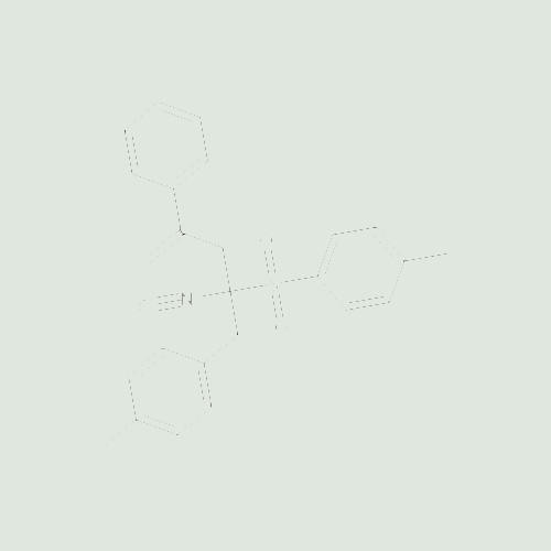 [C-]#[N+]C(CC(=C)c1ccccc1)(Cc1ccc(C)cc1)S(=O)(=O)c1ccc(C)cc1